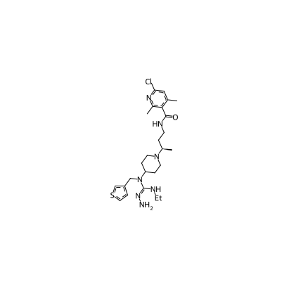 CCN/C(=N\N)N(Cc1ccsc1)C1CCN([C@H](C)CCNC(=O)c2c(C)cc(Cl)nc2C)CC1